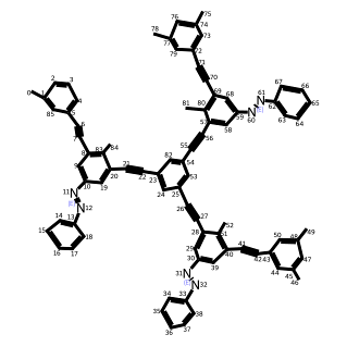 Cc1cccc(C#Cc2cc(/N=N/c3ccccc3)cc(C#Cc3cc(C#Cc4cc(/N=N/c5ccccc5)cc(C#Cc5cc(C)cc(C)c5)c4C)cc(C#Cc4cc(/N=N/c5ccccc5)cc(C#Cc5cc(C)cc(C)c5)c4C)c3)c2C)c1